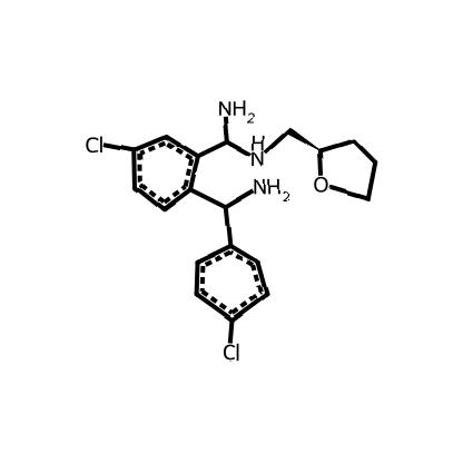 NC(NC[C@H]1CCCO1)c1cc(Cl)ccc1C(N)c1ccc(Cl)cc1